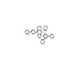 c1ccc(-c2ccc(-c3c4ccccc4c(N(c4cc(-c5ccccc5)cc(-c5ccccc5)c4)c4ccccn4)c4ccccc34)cc2)cc1